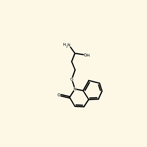 NC(O)CCOn1c(=O)ccc2ccccc21